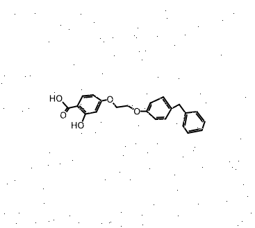 O=C(O)c1ccc(OCCOc2ccc(Cc3ccccc3)cc2)cc1O